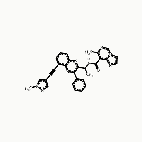 CC(NC(=O)c1c(N)ncn2ccnc12)c1nc2cccc(C#Cc3cnn(C)c3)c2nc1-c1ccccc1